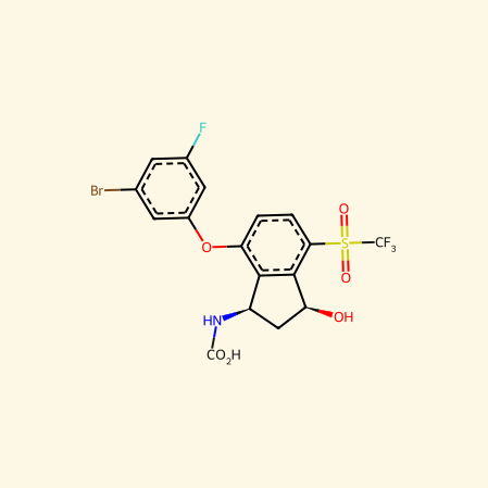 O=C(O)N[C@@H]1C[C@H](O)c2c(S(=O)(=O)C(F)(F)F)ccc(Oc3cc(F)cc(Br)c3)c21